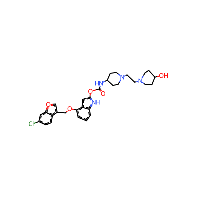 O=C(NC1CCN(CCN2CCC(O)CC2)CC1)Oc1cc2c(OCc3coc4cc(Cl)ccc34)cccc2[nH]1